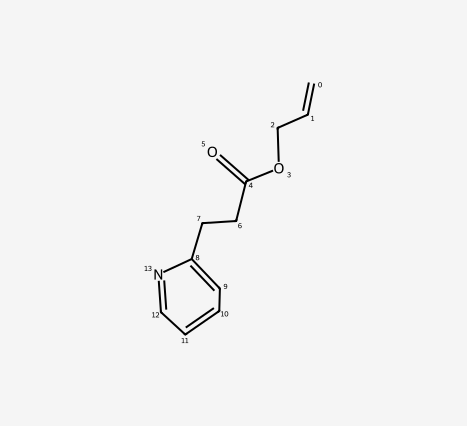 C=CCOC(=O)CCc1ccccn1